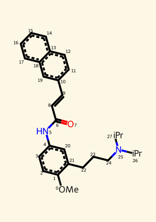 COc1ccc(NC(=O)C=Cc2ccc3ccccc3c2)cc1CCCN(C(C)C)C(C)C